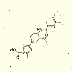 CO[C@H]1CN(c2nc(C)c(C(=O)O)s2)CCC1NC(=O)/C(C)=N/C(C)=C(C)C